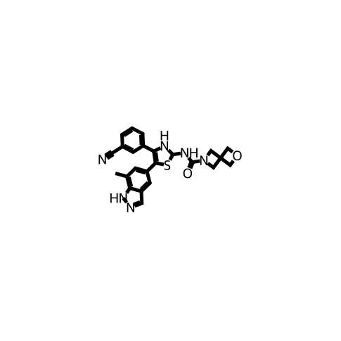 Cc1cc(C2=C(c3cccc(C#N)c3)NC(NC(=O)N3CC4(COC4)C3)S2)cc2cn[nH]c12